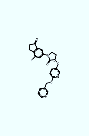 O=C1CCc2c(F)cc(N3CC[C@@H](Oc4ccc(OCc5cccnc5)nc4)C3=O)cc21